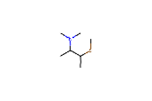 CSC(C)C(C)N(C)C